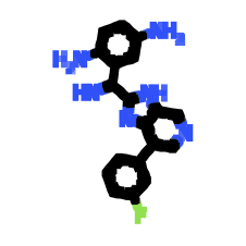 N=C(c1nc2c(-c3cccc(F)c3)cncc2[nH]1)c1cc(N)ccc1N